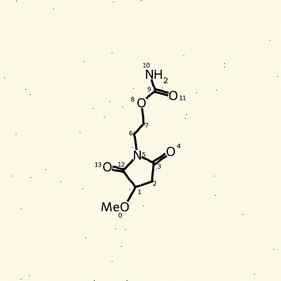 COC1CC(=O)N(CCOC(N)=O)C1=O